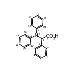 O=C(O)C(c1ccccc1)N(c1ccccc1)c1ccccc1